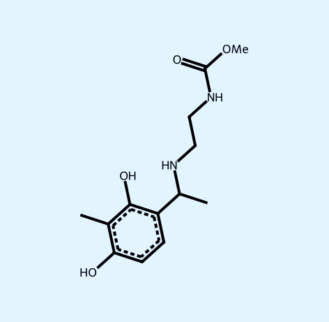 COC(=O)NCCNC(C)c1ccc(O)c(C)c1O